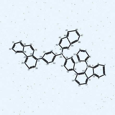 c1ccc(-n2c3ccccc3c3cccc(-c4ccc(N(c5ccc(-c6cccc7c6ccc6ccccc67)cc5)c5ccc6ccccc6c5)cc4)c32)cc1